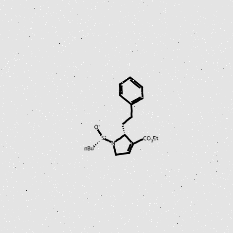 CCCC[S@+]([O-])N1CC=C(C(=O)OCC)[C@H]1CCc1ccccc1